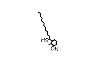 CCCCCCCCCCCCC(S)c1cccc(O)c1C